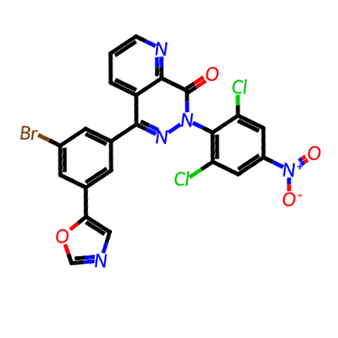 O=c1c2ncccc2c(-c2cc(Br)cc(-c3cnco3)c2)nn1-c1c(Cl)cc([N+](=O)[O-])cc1Cl